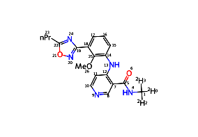 [2H]C([2H])([2H])NC(=O)c1cnccc1Nc1cccc(-c2noc(CCC)n2)c1OC